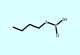 CCCCSB(S)Cl